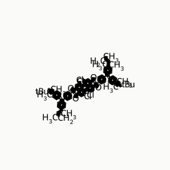 C=C(C)/C=C(\C)c1ccc(N(c2ccc(N3C(=O)c4cc(Cl)c5c6c(Cl)cc7c8c(cc(Cl)c(c9c(Cl)cc(c4c59)C3=O)c86)C(=O)N(c3ccc(N(c4ccc(C(C)(C)CC(=C)C)cc4)c4ccc(C(C)(C)CC(C)(C)C)cc4)cc3)C7=O)cc2)c2ccc(C(C)(C)CC(C)(C)C)cc2)cc1